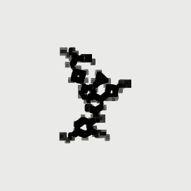 Cc1ccc(NC(=O)C[C@H](c2nnc([C@H]3C[C@@H](CC(C)C)C3)n2C2CC2)[C@H]2C[C@@H](O)C2)c(C)c1